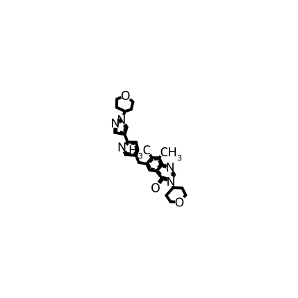 Cc1c(Cc2ccc(-c3cnn(C4CCOCC4)c3)nc2)cc2c(=O)n(C3CCOCC3)cnc2c1C